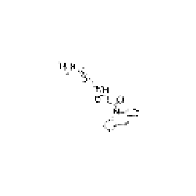 NCCSSCCNC(=O)CCC(=O)N1Cc2ccccc2C#Cc2ccccc21